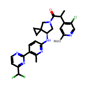 COc1cc(C(C)C(=O)N2C[C@@H](Nc3ccc(-c4nccc(C(F)F)n4)c(C)n3)C3(CC3)C2)c(Cl)cn1